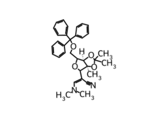 CN(C)C=C(C#N)C1OC(COC(c2ccccc2)(c2ccccc2)c2ccccc2)[C@H]2OC(C)(C)O[C@@]12C